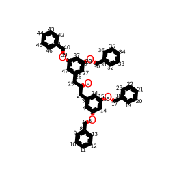 O=C(Cc1cc(OCc2ccccc2)cc(OCc2ccccc2)c1)Cc1cc(OCc2ccccc2)cc(OCc2ccccc2)c1